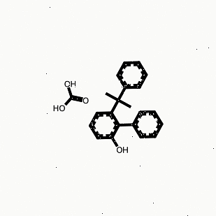 CC(C)(c1ccccc1)c1cccc(O)c1-c1ccccc1.O=C(O)O